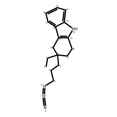 CCC1(CCCN=[N+]=[N-])CCc2[nH]c3ccccc3c2C1